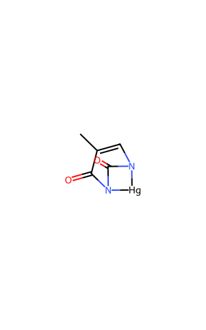 Cc1c[n]2c(=O)[n](c1=O)[Hg]2